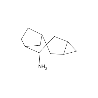 NC1C2CCC(C2)C12CC1CC1C2